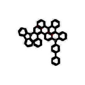 c1ccc(-c2ccc(N(c3ccc(-c4cccc(-n5c6ccccc6c6ccccc65)c4-c4ccccc4)cc3)c3ccccc3-c3ccc(-c4ccccc4)c4ccccc34)cc2)cc1